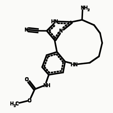 COC(=O)Nc1ccc2c(c1)NCCCCCC(N)c1nc-2c(C#N)[nH]1